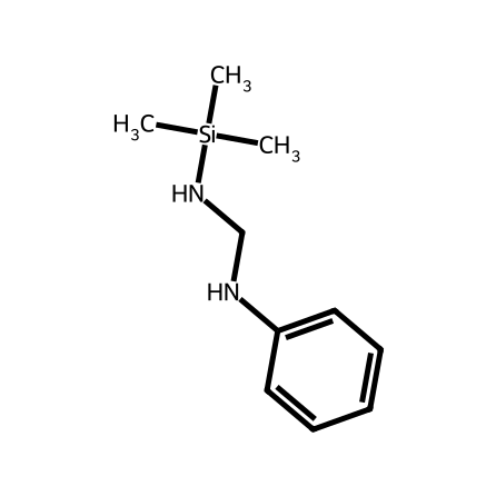 C[Si](C)(C)NCNc1ccccc1